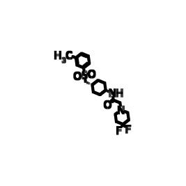 Cc1cccc(S(=O)(=O)C[C@H]2CC[C@H](NC(=O)CN3CCC(F)(F)CC3)CC2)c1